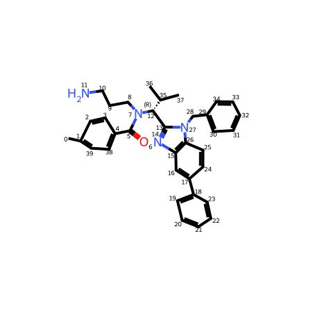 Cc1ccc(C(=O)N(CCCN)[C@@H](c2nc3cc(-c4ccccc4)ccc3n2Cc2ccccc2)C(C)C)cc1